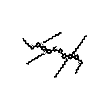 CCCCCCCCCCCCn1c2ccc(-c3csc(-c4ccc(-c5ccc6c(c5)c5cc7c(cc5n6CCCCCCCCCCCC)c5cc(-c6ccc(CCCCCC)s6)ccc5n7CCCCCCCCCCCC)s4)c3)cc2c2cc3c(cc21)c1cc(-c2ccc(CCCCCC)s2)ccc1n3CCCCCCCCCCCC